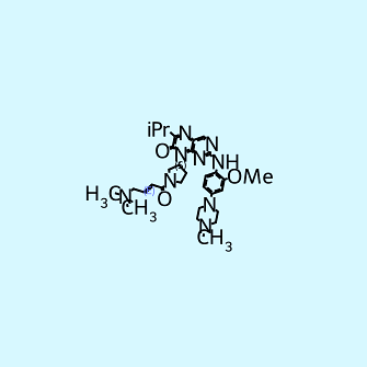 COc1cc(N2CCN(C)CC2)ccc1Nc1ncc2nc(C(C)C)c(=O)n([C@H]3CCN(C(=O)/C=C/CN(C)C)C3)c2n1